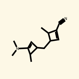 CC1C(C#N)=CC1CC1C=C(N(C)C)C1C